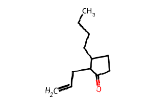 C=CCC1C(=O)CCC1CCCC